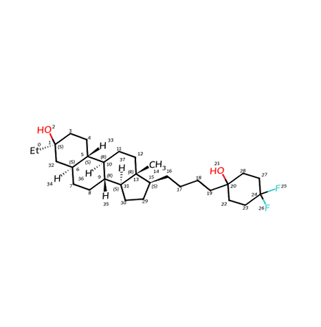 CC[C@]1(O)CC[C@H]2[C@@H](CC[C@@H]3[C@@H]2CC[C@]2(C)[C@@H](CCCCC4(O)CCC(F)(F)CC4)CC[C@@H]32)C1